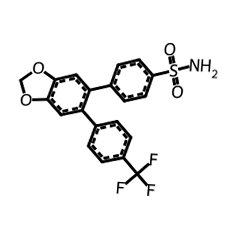 NS(=O)(=O)c1ccc(-c2cc3c(cc2-c2ccc(C(F)(F)F)cc2)OCO3)cc1